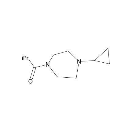 CC(C)C(=O)N1CCN(C2CC2)CC1